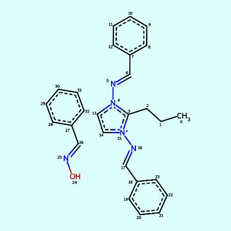 CCCc1n(N=Cc2ccccc2)cc[n+]1N=Cc1ccccc1.ON=Cc1ccccc1